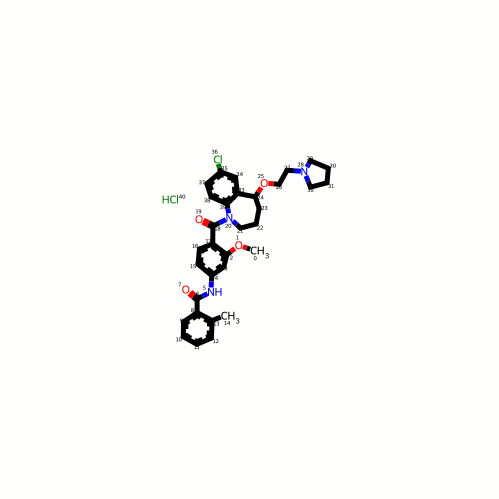 COc1cc(NC(=O)c2ccccc2C)ccc1C(=O)N1CCCC(OCCN2CCCC2)c2cc(Cl)ccc21.Cl